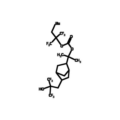 CCC(C)CC(OC(=O)OC(C)(C)C1CC2CC1CC2CC(O)(C(F)(F)F)C(F)(F)F)(C(F)(F)F)C(F)(F)F